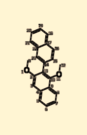 COc1cc2ccccc2c(OC)c1-c1ccc2ccccc2c1